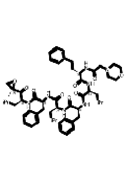 CC(C)C[C@H](NC(=O)[C@H](CCc1ccccc1)NC(=O)CN1CCOCC1)C(=O)N[C@@H](Cc1ccccc1)C(=O)N[C@@H](CC(C)C)C(=O)N[C@@H](Cc1ccccc1)C(=O)N[C@@H](CC(C)C)C(=O)[C@@]1(C)CO1